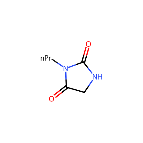 [CH2]CCN1C(=O)CNC1=O